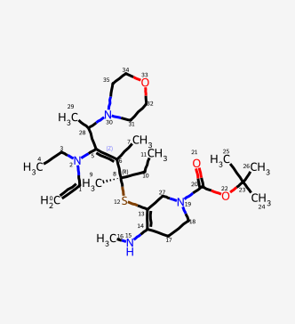 C=CN(CC)/C(=C(/C)[C@@](C)(CC)SC1=C(NC)CCN(C(=O)OC(C)(C)C)C1)C(C)N1CCOCC1